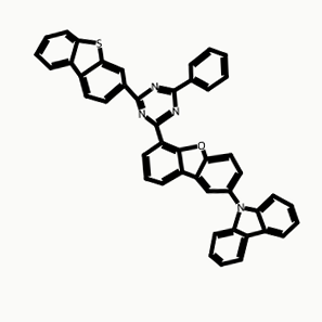 c1ccc(-c2nc(-c3ccc4c(c3)sc3ccccc34)nc(-c3cccc4c3oc3ccc(-n5c6ccccc6c6ccccc65)cc34)n2)cc1